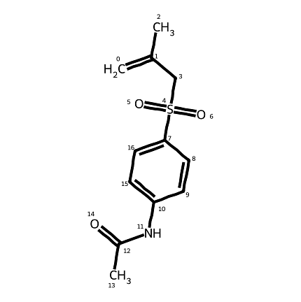 C=C(C)CS(=O)(=O)c1ccc(NC(C)=O)cc1